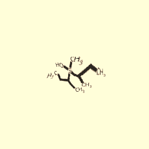 CCC(C)[Si](C)(O)C(C)CC